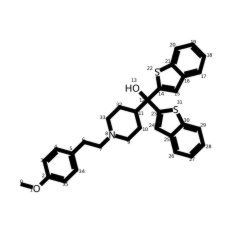 COc1ccc(CCN2CCC(C(O)(c3cc4ccccc4s3)c3cc4ccccc4s3)CC2)cc1